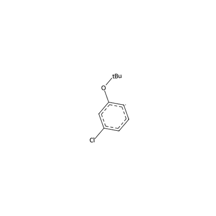 CC(C)(C)Oc1[c]ccc(Cl)c1